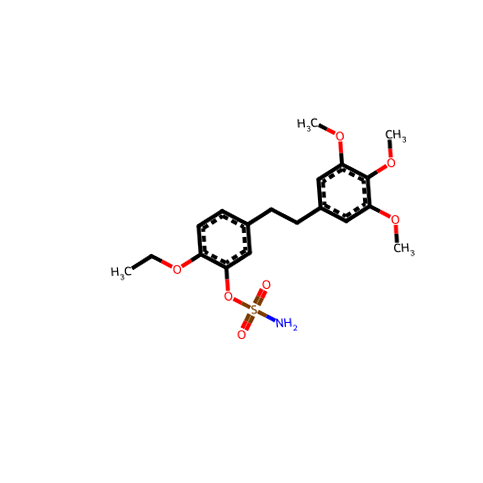 CCOc1ccc(CCc2cc(OC)c(OC)c(OC)c2)cc1OS(N)(=O)=O